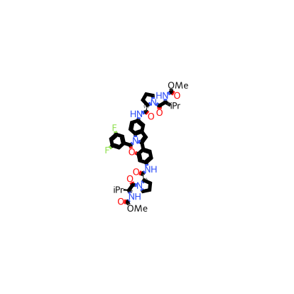 COC(=O)NC(C(=O)N1CCC[C@H]1C(=O)Nc1ccc2c(c1)cc1n2C(c2cc(F)cc(F)c2)Oc2cc(NC(=O)[C@@H]3CCCN3C(=O)[C@@H](NC(=O)OC)C(C)C)ccc2-1)C(C)C